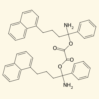 NC(CCCc1cccc2ccccc12)(OC(=O)C(=O)OC(N)(CCCc1cccc2ccccc12)c1ccccc1)c1ccccc1